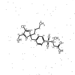 CCCCC1(Cc2ccc(S(=O)(=O)N(C)CC(=O)O)cc2)N=C(Cl)C(CO)=N1